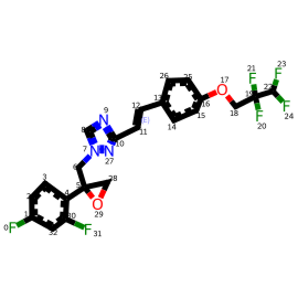 Fc1ccc(C2(Cn3cnc(/C=C/c4ccc(OCC(F)(F)C(F)F)cc4)n3)CO2)c(F)c1